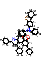 c1ccc(-c2cc(-c3c(-c4ccccc4)cc(-c4ccccc4)nc3-c3ccccc3)c3c(c2)oc2c(-n4c5ccccc5c5cc6c(cc54)sc4ccccc46)cccc23)cc1